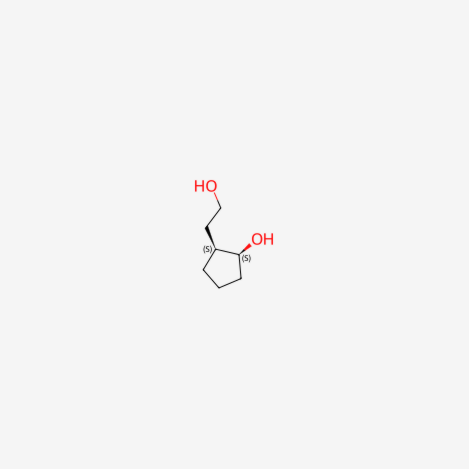 OCC[C@@H]1CCC[C@@H]1O